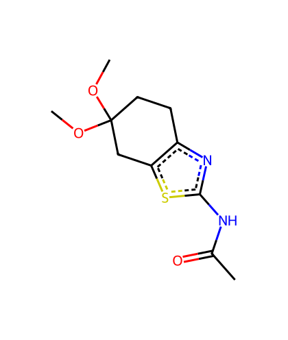 COC1(OC)CCc2nc(NC(C)=O)sc2C1